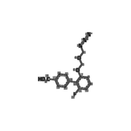 [N-]=[N+]=NCOCOc1cccc(F)c1-c1ccc(C(=O)O)cc1